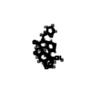 CN(C)Cc1cccc2c1C1(COc3cc4c(cc31)CCO4)C(=O)N2CC1CCCO1